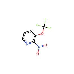 O=[N+]([O-])c1ncccc1OC(F)(F)F